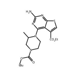 CCOC(=O)c1csc2nc(N)nc(N3CCN(C(=O)OC(C)(C)C)CC3C)c12